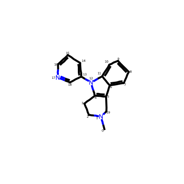 CN1CCc2c(c3ccccc3n2-c2cccnc2)C1